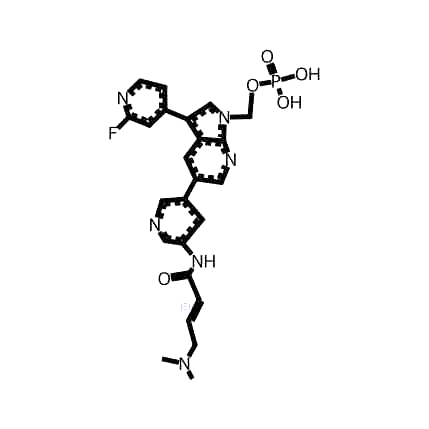 CN(C)C/C=C/C(=O)Nc1cncc(-c2cnc3c(c2)c(-c2ccnc(F)c2)cn3COP(=O)(O)O)c1